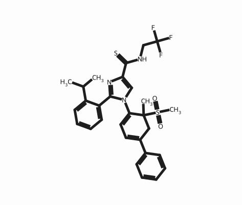 CC(C)c1ccccc1-c1nc(C(=S)NCC(F)(F)F)cn1C1=CC=C(c2ccccc2)CC1(C)S(C)(=O)=O